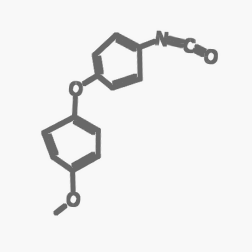 COc1ccc(Oc2ccc(N=C=O)cc2)cc1